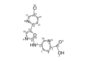 O=C(O)c1ccc(Nc2ncc(-c3ccc(Cl)cn3)o2)cn1